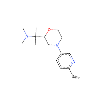 CSc1ccc(N2CCO[C@@H](C(C)(C)N(C)C)C2)cn1